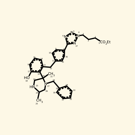 CCOC(=O)CCCn1nnc(-c2ccc(Cc3cccc(O)c3C3(C)CNC(C)CN3Cc3ccccc3)cc2)n1